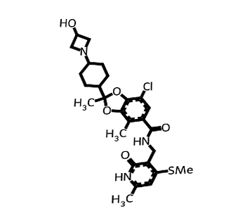 CSc1cc(C)[nH]c(=O)c1CNC(=O)c1cc(Cl)c2c(c1C)OC(C)(C1CCC(N3CC(O)C3)CC1)O2